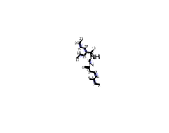 C=C(C/C=C\C(C)=C/C)/N=C/NC(C)C(/C=C/C)=C/C=C\C